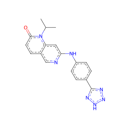 CC(C)n1c(=O)ccc2cnc(Nc3ccc(-c4nn[nH]n4)cc3)cc21